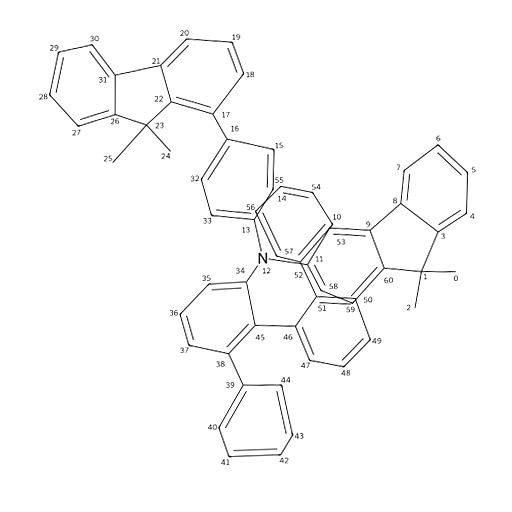 CC1(C)c2ccccc2-c2cc(N(c3ccc(-c4cccc5c4C(C)(C)c4ccccc4-5)cc3)c3cccc(-c4ccccc4)c3-c3ccccc3-c3ccccc3)ccc21